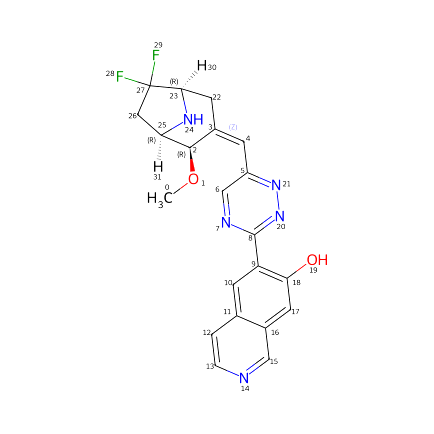 CO[C@@H]1/C(=C\c2cnc(-c3cc4ccncc4cc3O)nn2)C[C@H]2N[C@@H]1CC2(F)F